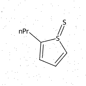 CCCC1=CC=CS1=S